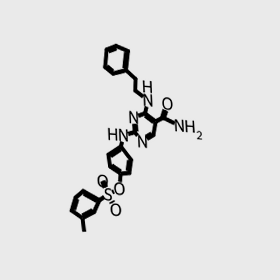 Cc1cccc(S(=O)(=O)Oc2ccc(Nc3ncc(C(N)=O)c(NCCc4ccccc4)n3)cc2)c1